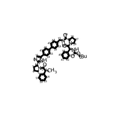 C[C@@H](C(=O)N1CCC[C@H]1c1ncc(-c2ccc(-c3ccc(CNC(=O)[C@@H]4CCCN4C(=O)[C@H](NC(=O)OC(C)(C)C)c4ccccc4)cc3)cc2)[nH]1)c1ccccc1